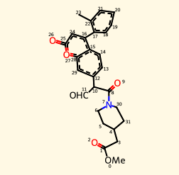 COC(=O)CC1CCN(C(=O)C(C=O)c2ccc3c(-c4ccccc4C)cc(=O)oc3c2)CC1